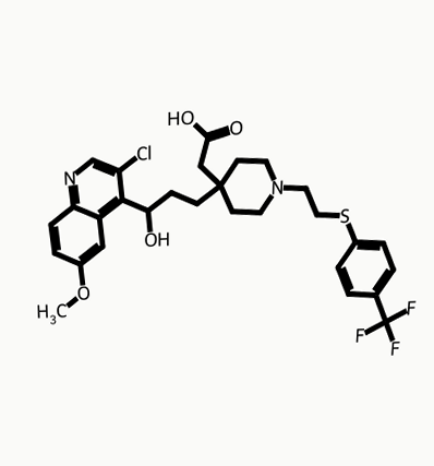 COc1ccc2ncc(Cl)c(C(O)CCC3(CC(=O)O)CCN(CCSc4ccc(C(F)(F)F)cc4)CC3)c2c1